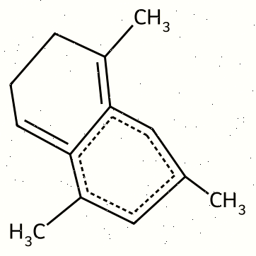 CC1=c2cc(C)cc(C)c2=CCC1